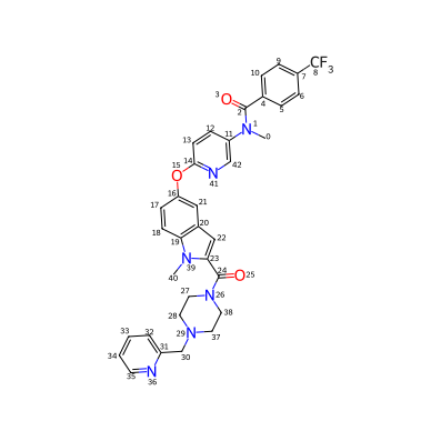 CN(C(=O)c1ccc(C(F)(F)F)cc1)c1ccc(Oc2ccc3c(c2)cc(C(=O)N2CCN(Cc4ccccn4)CC2)n3C)nc1